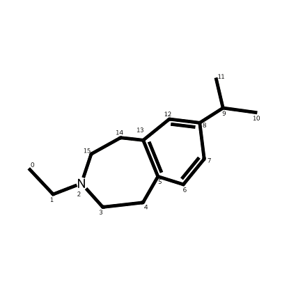 CCN1CCc2ccc(C(C)C)cc2CC1